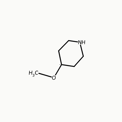 CO[C]1CCNCC1